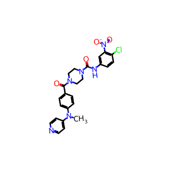 CN(c1ccncc1)c1ccc(C(=O)N2CCN(C(=O)Nc3ccc(Cl)c([N+](=O)[O-])c3)CC2)cc1